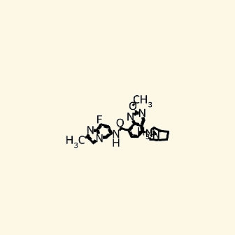 COc1ncc2c(N3CC4CCC(C3)N4C)ccc(C(=O)Nc3cc(F)c4nc(C)cn4c3)c2n1